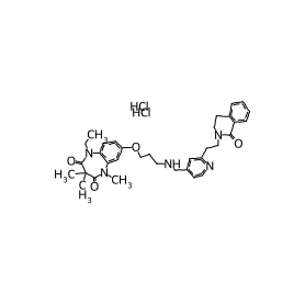 CCN1C(=O)C(C)(C)C(=O)N(C)c2cc(OCCCNCc3ccnc(CCN4CCc5ccccc5C4=O)c3)ccc21.Cl.Cl